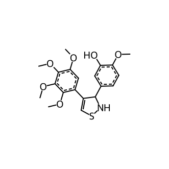 COc1ccc(C2NSC=C2c2cc(OC)c(OC)c(OC)c2OC)cc1O